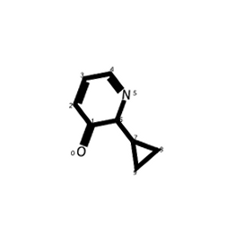 O=C1C=CC=NC1C1CC1